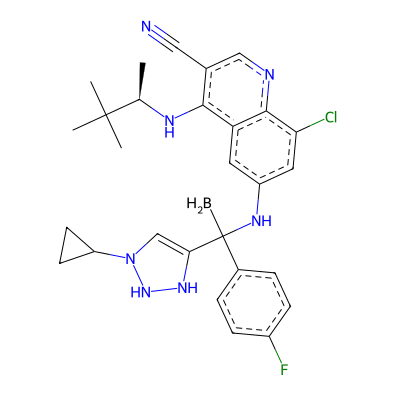 BC(Nc1cc(Cl)c2ncc(C#N)c(N[C@H](C)C(C)(C)C)c2c1)(C1=CN(C2CC2)NN1)c1ccc(F)cc1